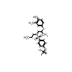 CCCN(CC(C)Sc1ccc(O)c(C)c1)S(=O)(=O)c1ccc(OC(F)(F)F)cc1